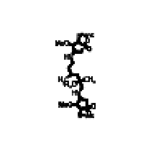 CCCCCC1C(OC)C(NCCC(C)CC(C)(C)CNC2CS(=O)(=O)C(CCCCC)C2OC)CS1(=O)=O